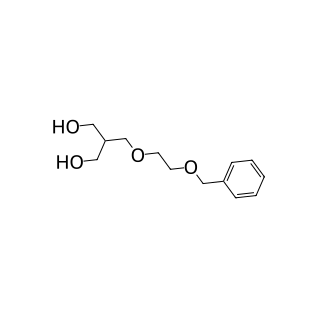 OCC(CO)COCCOCc1ccccc1